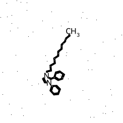 CCCCCCCCCCCCCN1C=CN(c2ccccc2)C1c1ccccc1